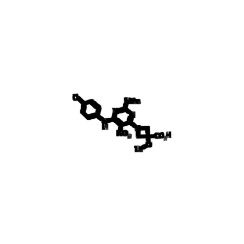 CCOC1(C(=O)O)CN(c2nc(SC)nc(Nc3ccc(Cl)cc3)c2[N+](=O)[O-])C1